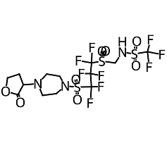 O=C1OCCC1N1CCN(S(=O)(=O)C(F)(F)C(F)(F)C(F)(F)S(=O)(=O)CNS(=O)(=O)C(F)(F)F)CC1